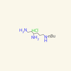 CCCCNCCCC(N)CCN.Cl